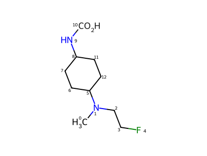 CN(CCF)C1CCC(NC(=O)O)CC1